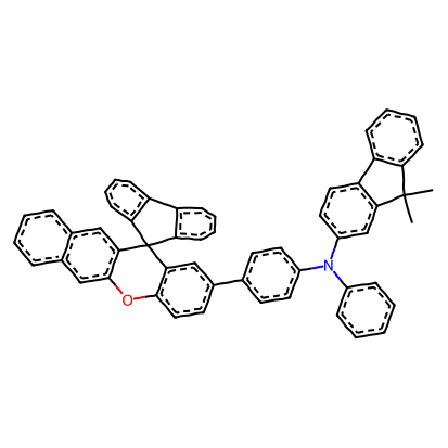 CC1(C)c2ccccc2-c2ccc(N(c3ccccc3)c3ccc(-c4ccc5c(c4)C4(c6cc7ccccc7cc6O5)c5ccccc5-c5ccccc54)cc3)cc21